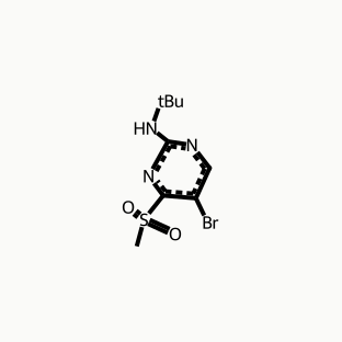 CC(C)(C)Nc1ncc(Br)c(S(C)(=O)=O)n1